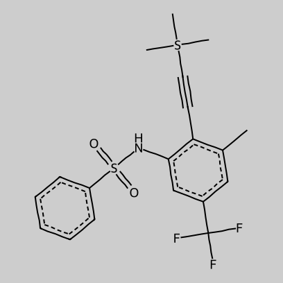 Cc1cc(C(F)(F)F)cc(NS(=O)(=O)c2ccccc2)c1C#CS(C)(C)C